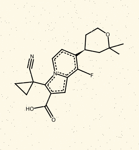 CC1(C)C[C@@H](c2ccn3c(C4(C#N)CC4)c(C(=O)O)cc3c2F)CCO1